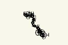 C[C@@H](Oc1cc(-c2cnn(C3CCC(CN4CCC(c5cc6c(cc5F)C(=O)N(C5CCC(=O)NC5=O)C6=O)CC4)CC3)c2)cnc1N)c1c(Cl)ccc(F)c1Cl